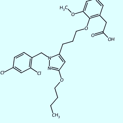 CCCCOc1cc(CCCOc2c(CC(=O)O)cccc2OC)n(Cc2ccc(Cl)cc2Cl)n1